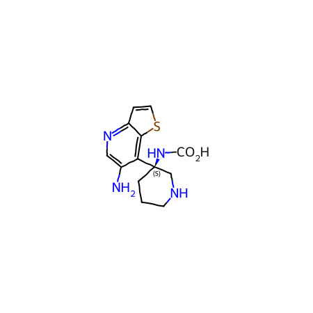 Nc1cnc2ccsc2c1[C@@]1(NC(=O)O)CCCNC1